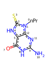 CCCn1c(=S)[nH]c2c(=O)[nH]c(N)nc21